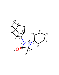 CC1(C)C(=O)N(C2CCC3CC4CC2CC34)N1C1CCCCC1